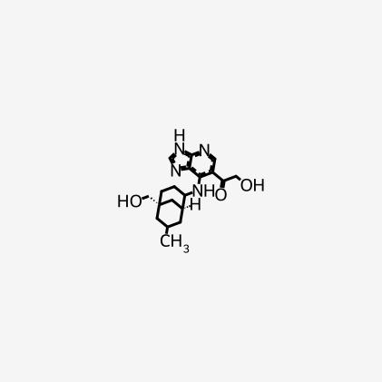 CC1C[C@H]2C[C@](CO)(CCC2Nc2c(C(=O)CO)cnc3[nH]cnc23)C1